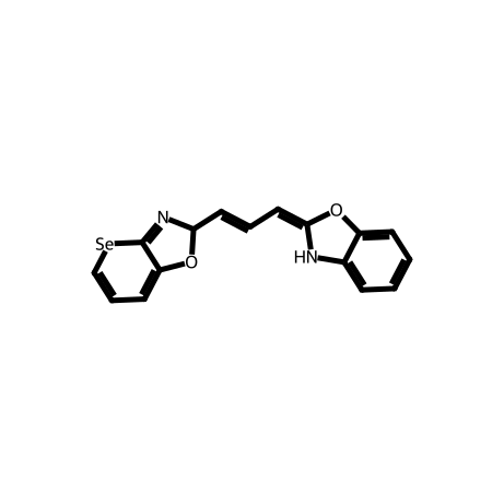 C1=C[Se]C2=NC(C=CC=C3Nc4ccccc4O3)OC2=C1